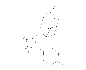 COc1ccc(N2N([C@H]3C4CC5CC3C[C@@](O)(C5)C4)C(=O)C2(C)C)cc1